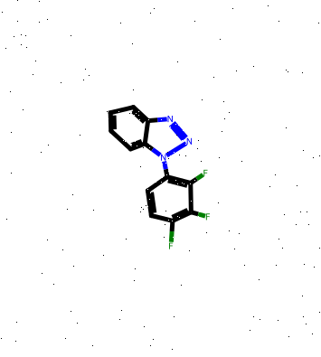 Fc1ccc(-n2nnc3ccccc32)c(F)c1F